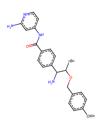 CCCCC(OCc1ccc(OC)cc1)C(N)c1ccc(C(=O)Nc2ccnc(N)c2)cc1